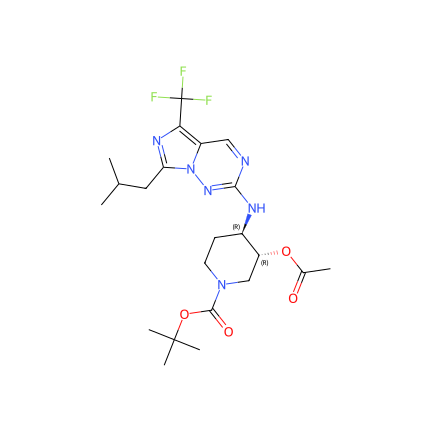 CC(=O)O[C@@H]1CN(C(=O)OC(C)(C)C)CC[C@H]1Nc1ncc2c(C(F)(F)F)nc(CC(C)C)n2n1